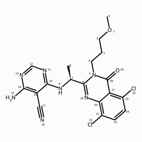 COCCCn1c([C@H](C)Nc2ncnc(N)c2C#N)nc2c(Cl)ccc(Cl)c2c1=O